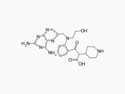 Nc1nc(N)c2nc(CN(CCO)c3ccccc3C(=O)C(C(=O)O)C3CCNCC3)cnc2n1